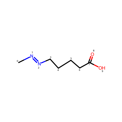 CN=NCCCCC(=O)O